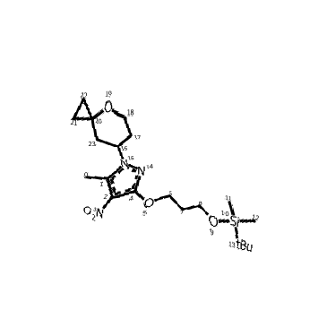 Cc1c([N+](=O)[O-])c(OCCCO[Si](C)(C)C(C)(C)C)nn1C1CCOC2(CC2)C1